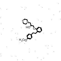 COc1ccc(CCc2ccccc2OC[C@H](O)CN2CCSCC2)cc1